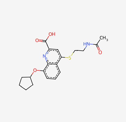 CC(=O)NCCSc1cc(C(=O)O)nc2c(OC3CCCC3)cccc12